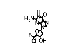 Nc1nc2c(ncn2[C@H]2C[C@H](O)C(=C(F)Cl)O2)c(=O)[nH]1